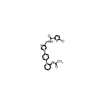 CC(=O)N=c1ccccn1-c1ccc(-n2cnc(CNC(=O)c3ccc(Cl)s3)c2)cc1